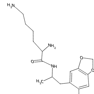 COc1cc2c(cc1CC(C)NC(=O)C(N)CCCCN)OCO2